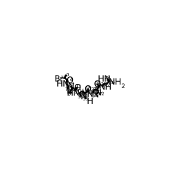 C=C(Br)C(=O)Nc1cn(C)c(C(=O)Nc2cc(C(=O)Nc3cc(C(=O)NCCC(=N)N)n(C)n3)n(C)c2)n1